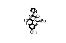 CCC(C)Cn1c(-c2c(F)cc(O)cc2F)c(Cl)nc(-n2cccn2)c1=O